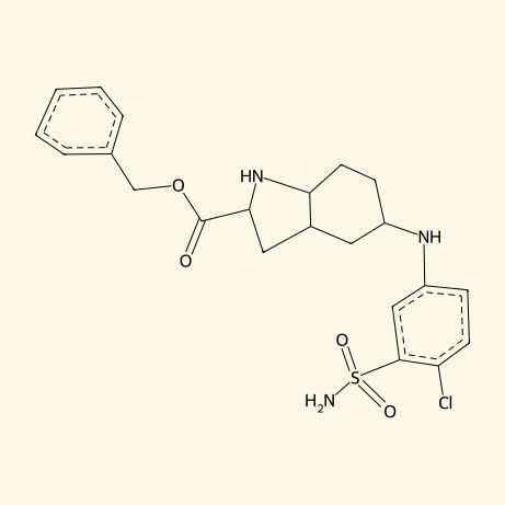 NS(=O)(=O)c1cc(NC2CCC3NC(C(=O)OCc4ccccc4)CC3C2)ccc1Cl